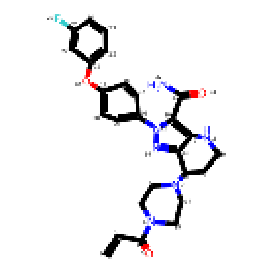 C=CC(=O)N1CCN(C2CCNc3c2nn(-c2ccc(Oc4cccc(F)c4)cc2)c3C(N)=O)CC1